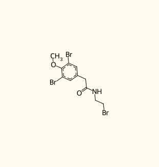 COc1c(Br)cc(CC(=O)NCCBr)cc1Br